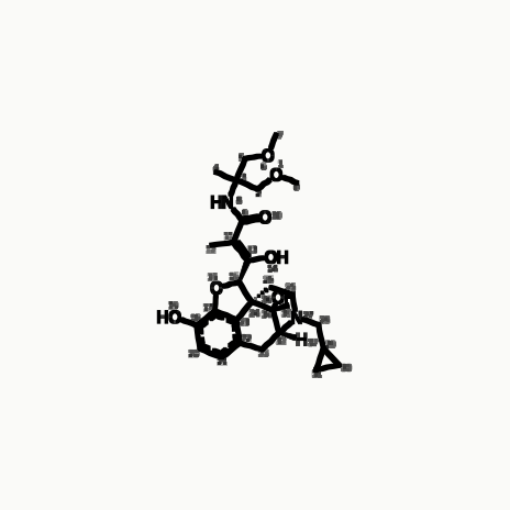 COCC(C)(COC)NC(=O)/C(C)=C(\O)[C@@H]1Oc2c(O)ccc3c2[C@@]12CCN(CC1CC1)[C@H](C3)[C@@]2(C)O